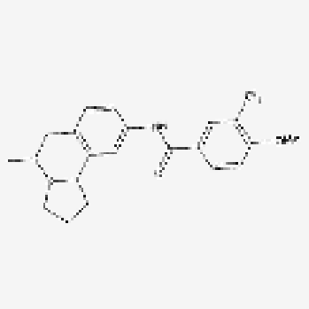 COc1ccc(C(=O)Nc2ccc3c(c2)C2CCCN2C(C)C3)cc1C(F)(F)F